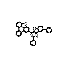 c1ccc(-c2ccc3oc4c(-c5cc6sc7cccc8c9ccccc9c(c5)c6c78)nc(-c5ccccc5)nc4c3c2)cc1